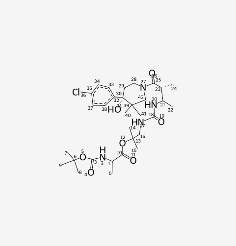 CC(NC(=O)OC(C)(C)C)C(=O)OC(C)(C)CNC(=O)NC(C)[C@@H](C)C(=O)N1CC[C@](O)(c2ccc(Cl)cc2)C(C)(C)C1